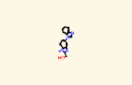 OCc1nc2cc(-n3cnc4ccccc43)ccc2[nH]1